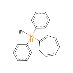 CC(C)[PH](C1=CC=CC=CC1)(c1ccccc1)c1ccccc1